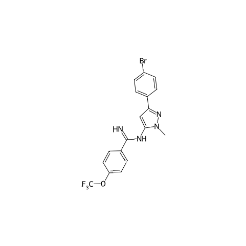 Cn1nc(-c2ccc(Br)cc2)cc1NC(=N)c1ccc(OC(F)(F)F)cc1